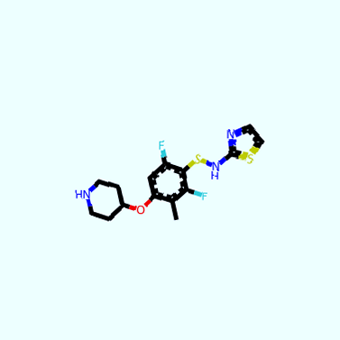 Cc1c(OC2CCNCC2)cc(F)c(SNc2nccs2)c1F